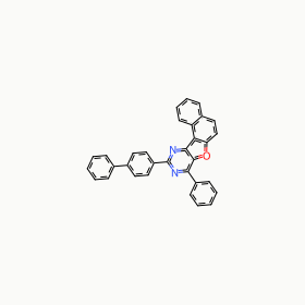 c1ccc(-c2ccc(-c3nc(-c4ccccc4)c4oc5ccc6ccccc6c5c4n3)cc2)cc1